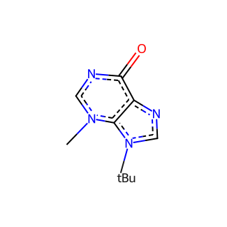 Cn1cnc(=O)c2ncn(C(C)(C)C)c21